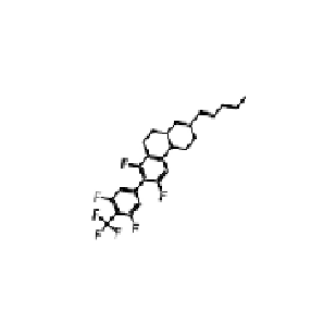 CCCC=CC1CCC2c3cc(F)c(-c4cc(F)c(C(F)(F)F)c(F)c4)c(F)c3CCC2C1